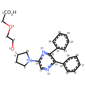 O=C(O)COCCO[C@H]1CCN(c2cnc(-c3ccccc3)c(-c3ccccc3)n2)C1